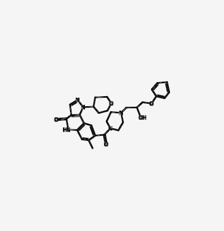 Cc1cc2[nH]c(=O)c3cnn(C4CCOCC4)c3c2cc1C(=O)N1CCN(CC(O)COc2ccccc2)CC1